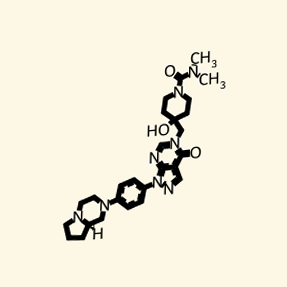 CN(C)C(=O)N1CCC(O)(Cn2cnc3c(cnn3-c3ccc(N4CCN5CCC[C@@H]5C4)cc3)c2=O)CC1